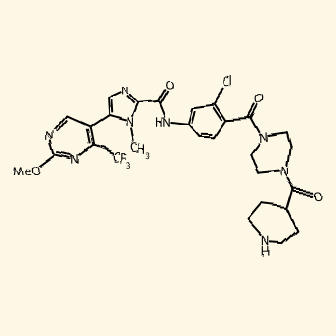 COc1ncc(-c2cnc(C(=O)Nc3ccc(C(=O)N4CCN(C(=O)C5CCNCC5)CC4)c(Cl)c3)n2C)c(C(F)(F)F)n1